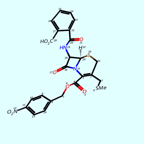 CSCC1=C(C(=O)OCc2ccc([N+](=O)[O-])cc2)N2C(=O)C(NC(=O)c3ccccc3C(=O)O)[C@H]2SC1